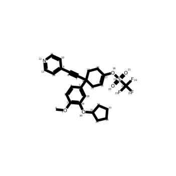 COc1ccc(C2(C#Cc3ccncc3)CC=C(OS(=O)(=O)C(F)(F)F)CC2)cc1OC1CCCC1